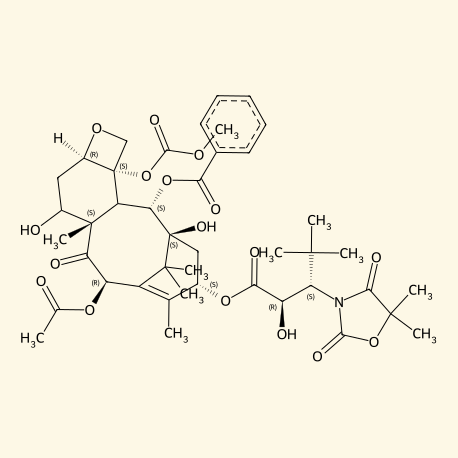 COC(=O)O[C@@]12CO[C@@H]1CC(O)[C@@]1(C)C(=O)[C@H](OC(C)=O)C3=C(C)[C@@H](OC(=O)[C@H](O)[C@@H](N4C(=O)OC(C)(C)C4=O)C(C)(C)C)C[C@@](O)([C@@H](OC(=O)c4ccccc4)C12)C3(C)C